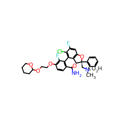 CN(C[C@@]1(c2ccccc2)Cc2c(cc(F)c(Cl)c2-c2c(C(N)=O)ccc(OCCOC3CCCCO3)c2F)O1)C(=O)O